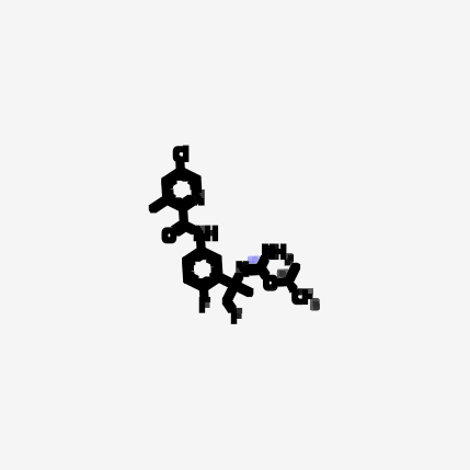 Cc1cc(Cl)cnc1C(=O)Nc1ccc(F)c(C(C)(CF)/N=C(/N)O[C@@H](C)C(F)(F)F)c1